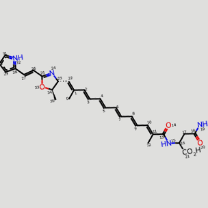 CC(/C=C/C=C/C=C/C=C/C=C(\C)C(=O)NC(CC(N)=O)C(=O)O)=C\[C@H]1N=C(/C=C/c2ccc[nH]2)O[C@@H]1C